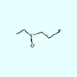 CC[S+]([O-])CCF